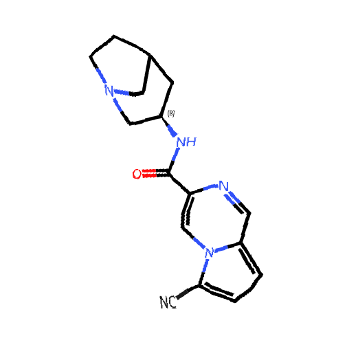 N#Cc1ccc2cnc(C(=O)N[C@@H]3CC4CCN(C4)C3)cn12